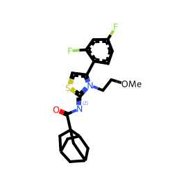 COCCn1c(-c2ccc(F)cc2F)cs/c1=N\C(=O)C12CC3CC(CC1C3)C2